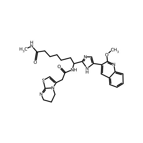 CNC(=O)CCCCCC(NC(=O)CC1=CSC2=NCCCN12)c1ncc(-c2cc3ccccc3nc2OC)[nH]1